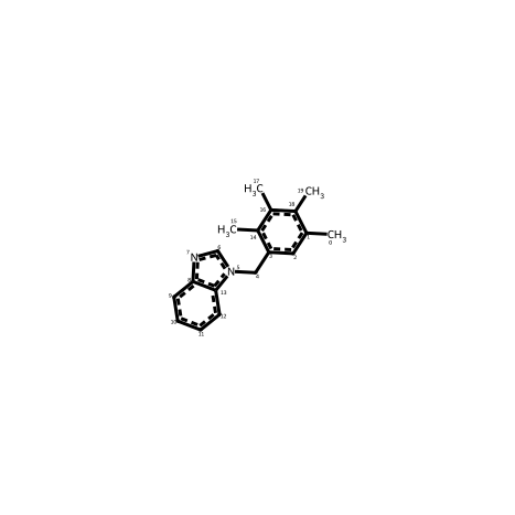 Cc1cc(Cn2cnc3ccccc32)c(C)c(C)c1C